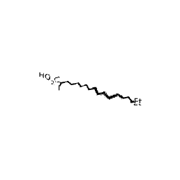 CCC=CCC=CCC=CCCCCCCC(I)C(=O)O